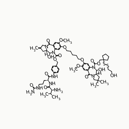 C=C1C[C@H]2C(O)N(C(=O)OCc3ccc(NC(=O)[C@H](CCCNC(N)=O)NC(=O)[C@@H](N)C(C)C)cc3)c3cc(OCCCCCOc4cc5c(cc4OC)C(=O)N4CC(C)(C)C[C@H]4C(O)N5C(=O)OCC4(SSCCO)CCCC4)c(OC)cc3C(=O)N2C1